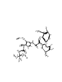 Cc1cc(NC(=O)C(=O)N2C[C@H](C)CC[C@H]2c2ccc(F)c(F)c2)cnc1NC(=O)OC(C)(C)C